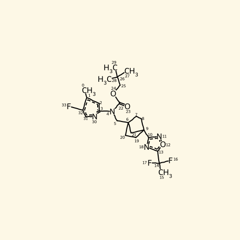 Cc1cc(N(CC23CCC(c4noc(C(C)(F)F)n4)(CC2)C3)C(=O)OCC(C)(C)C)ncc1F